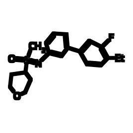 CCc1ccc(-c2cccc(N=S(C)(=O)C3CCOCC3)c2)cc1F